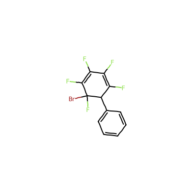 FC1=C(F)C(c2ccccc2)C(F)(Br)C(F)=C1F